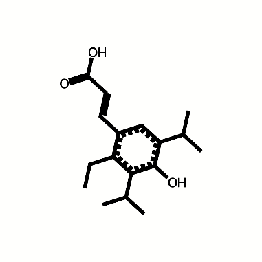 CCc1c(C=CC(=O)O)cc(C(C)C)c(O)c1C(C)C